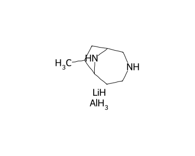 CC1CC2CNCCC1N2.[AlH3].[LiH]